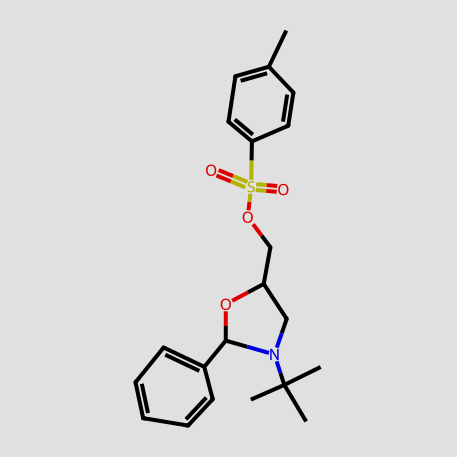 Cc1ccc(S(=O)(=O)OCC2CN(C(C)(C)C)C(c3ccccc3)O2)cc1